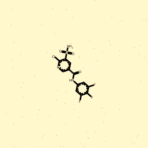 NS(=O)(=O)c1cc(C(=O)Nc2cc(F)c(F)c(F)c2)cnc1Cl